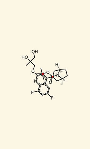 CC(O)(CO)COc1nc(N2C[C@H]3CC[C@@](C)(C2)N3C(=O)OC(C)(C)C)c2cc(F)cc(F)c2n1